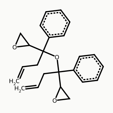 C=CCC(OC(CC=C)(c1ccccc1)C1CO1)(c1ccccc1)C1CO1